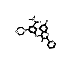 Cc1c(-c2ccccn2)nc2cc(F)ccc2c1Nc1cc(C(=O)N(C)C)cc(N2CCOCC2)c1